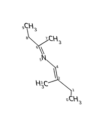 CC/C(C)=C/N=C(\C)CC